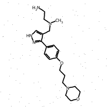 CN(CCN)Cc1c[nH]nc1-c1ccc(OCCCN2CCOCC2)cc1